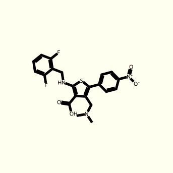 CN(C)Cc1c(-c2ccc([N+](=O)[O-])cc2)sc(NCc2c(F)cccc2F)c1C(=O)O